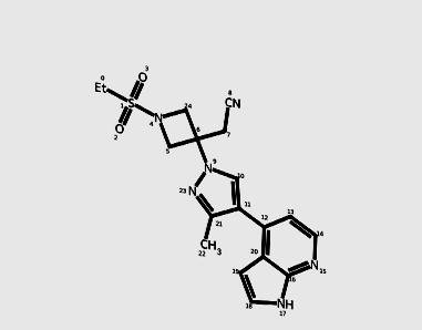 CCS(=O)(=O)N1CC(CC#N)(n2cc(-c3ccnc4[nH]ccc34)c(C)n2)C1